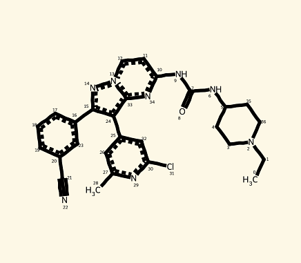 CCN1CCC(NC(=O)Nc2ccn3nc(-c4cccc(C#N)c4)c(-c4cc(C)nc(Cl)c4)c3n2)CC1